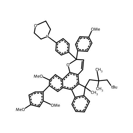 COc1ccc(C2(c3ccc(N4CCOCC4)cc3)C=Cc3c4c(c5cc(-c6ccc(OC)cc6OC)c(OC)cc5c3O2)-c2ccccc2C4(C)CC(C)(C)CC(C)(C)C)cc1